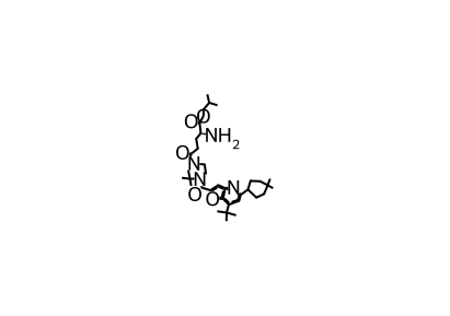 CC(C)COC(=O)[C@@H](N)CCC(=O)N1CCN(C(=O)c2cc3nc(C4CCC(C)(C)CC4)cc(C(C)(C)C)c3o2)C(C)(C)C1